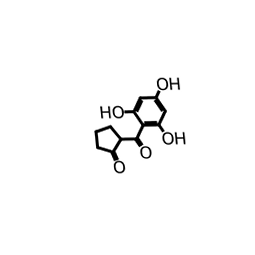 O=C1CCCC1C(=O)c1c(O)cc(O)cc1O